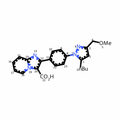 CCCCc1cc(COC)nn1-c1ccc(-c2nc3ccccn3c2C(=O)O)cc1